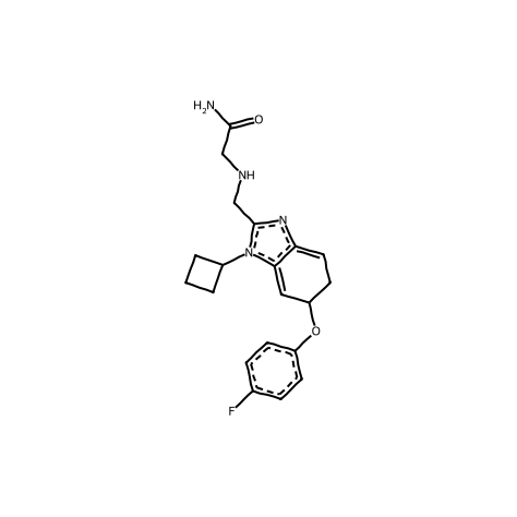 NC(=O)CNCc1nc2c(n1C1CCC1)=CC(Oc1ccc(F)cc1)CC=2